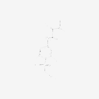 Cc1cc(NC(=O)C(=O)N(C)C)cc(C)c1S(=O)(=O)C[N+](=O)[O-]